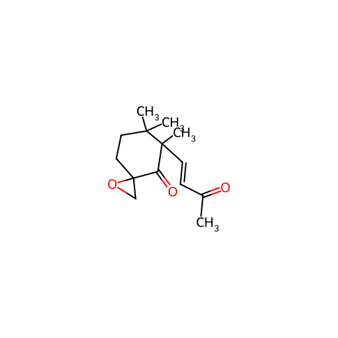 CC(=O)C=CC1(C)C(=O)C2(CCC1(C)C)CO2